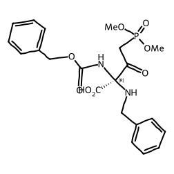 COP(=O)(CC(=O)[C@@](NCc1ccccc1)(NC(=O)OCc1ccccc1)C(=O)O)OC